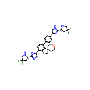 FC1(F)CN[C@H](c2nc(-c3ccc(-c4ccc(-c5cnc([C@@H]6CC(F)(F)CN6)[nH]5)c5c4C4(CCOCC4)CC5)cc3)c[nH]2)C1